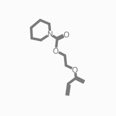 C=CC(=C)OCCOC(=O)N1CCCCC1